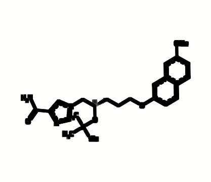 COc1ccc2ccc(OCCC[C@@H](Cn3cnc(C(N)=O)c3)O[Si](C)(C)C(C)(C)C)cc2c1